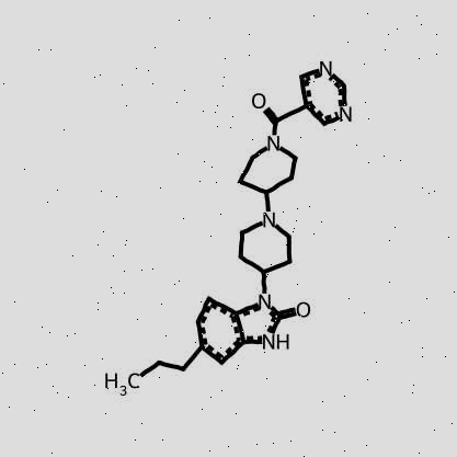 CCCc1ccc2c(c1)[nH]c(=O)n2C1CCN(C2CCN(C(=O)c3cncnc3)CC2)CC1